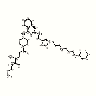 N[C@@H](CCC(=O)N1CCC(Nc2nc(NCc3cn(CCCNCCCNC4CCCCC4)nn3)nc3ccccc23)CC1)C(=O)NCCP